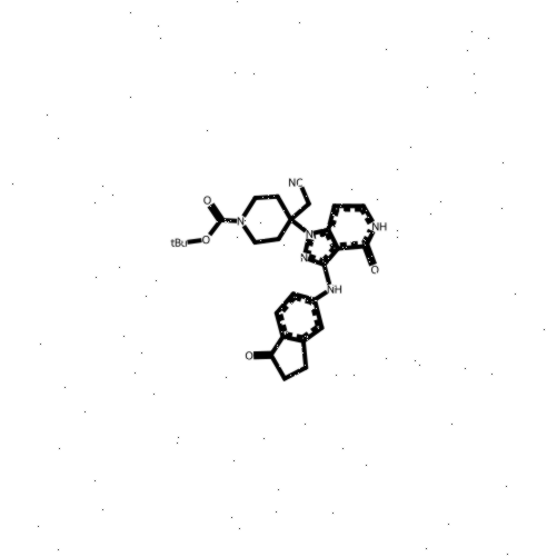 CC(C)(C)OC(=O)N1CCC(CC#N)(n2nc(Nc3ccc4c(c3)CCC4=O)c3c(=O)[nH]ccc32)CC1